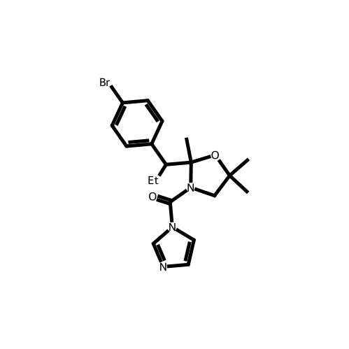 CCC(c1ccc(Br)cc1)C1(C)OC(C)(C)CN1C(=O)n1ccnc1